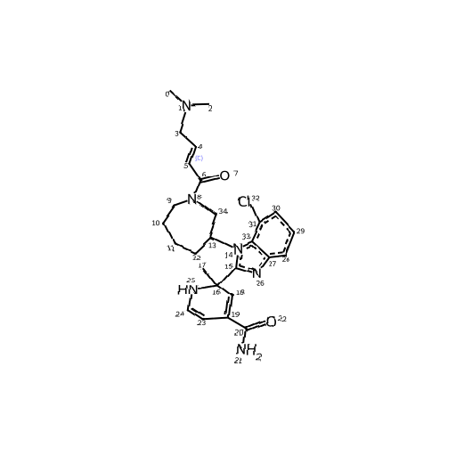 CN(C)C/C=C/C(=O)N1CCCCC(n2c(C3(C)C=C(C(N)=O)C=CN3)nc3cccc(Cl)c32)C1